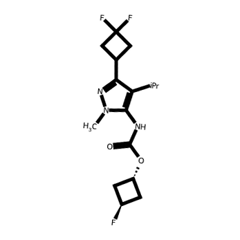 CC(C)c1c(C2CC(F)(F)C2)nn(C)c1NC(=O)O[C@H]1C[C@H](F)C1